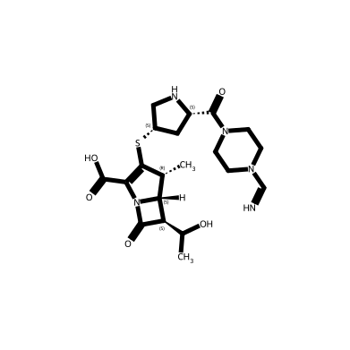 CC(O)[C@H]1C(=O)N2C(C(=O)O)=C(S[C@@H]3CN[C@H](C(=O)N4CCN(C=N)CC4)C3)[C@H](C)[C@H]12